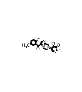 Cc1ccc(F)c(C(=O)c2cnc3n2CCN(c2cn[nH]c(=O)c2Cl)C3)c1